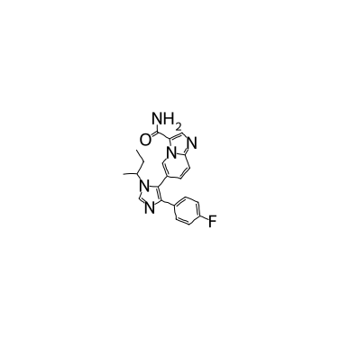 CCC(C)n1cnc(-c2ccc(F)cc2)c1-c1ccc2ncc(C(N)=O)n2c1